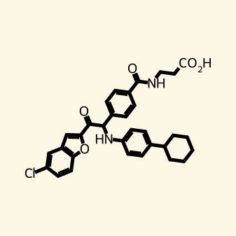 O=C(O)CCNC(=O)c1ccc(C(Nc2ccc(C3CCCCC3)cc2)C(=O)c2cc3cc(Cl)ccc3o2)cc1